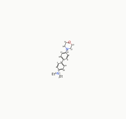 CCN(CC)c1ccc(-c2c[c]c(N3CCOCC3)cc2)cc1